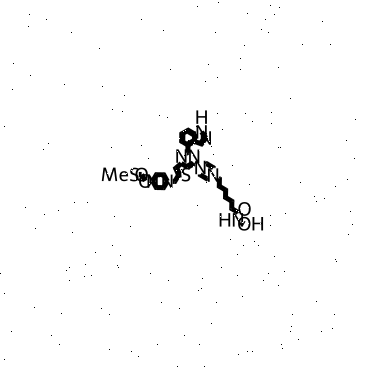 CSOON1CCN(Cc2cc3nc(-c4cccc5[nH]ncc45)nc(N4CCN(CCCCCCC(=O)NO)CC4)c3s2)CC1